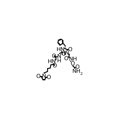 NC(=O)COCNC(=O)CNC(=O)[C@H](Cc1ccccc1)NC(=O)CNC(=O)CNC(=O)CCCCCN1C(=O)C=CC1=O